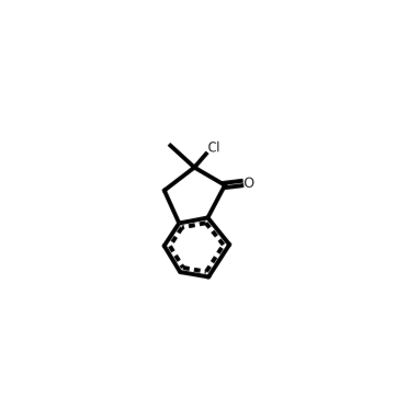 CC1(Cl)Cc2ccccc2C1=O